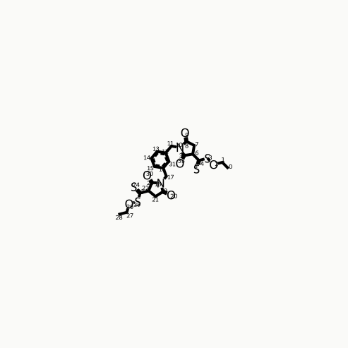 CCOSC(=S)C1CC(=O)N(Cc2cccc(CN3C(=O)CC(C(=S)SOCC)C3=O)c2)C1=O